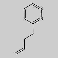 C=CCCc1cccbn1